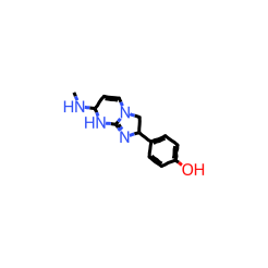 CNC1C=CN2CC(c3ccc(O)cc3)N=C2N1